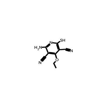 CCOc1c(C#N)c(N)nc(S)c1C#N